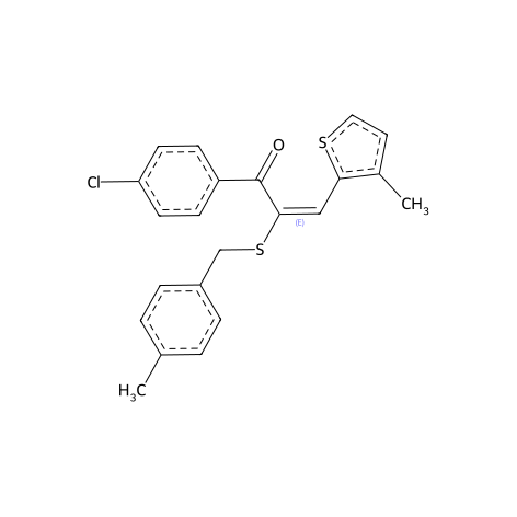 Cc1ccc(CS/C(=C/c2sccc2C)C(=O)c2ccc(Cl)cc2)cc1